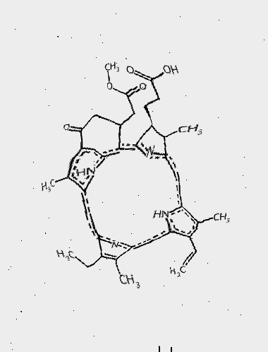 C=Cc1c(C)c2cc3nc(c4c5[nH]c(cc6nc(cc1[nH]2)C(C)=C6CC)c(C)c5C(=O)CC4CC(=O)OC)[C@@H](CCC(=O)O)C3C